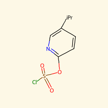 CC(C)c1ccc(OS(=O)(=O)Cl)nc1